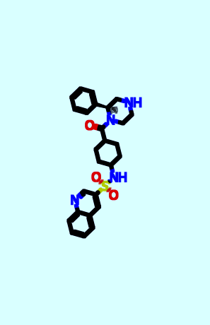 O=C(C1CCC(NS(=O)(=O)c2cnc3ccccc3c2)CC1)N1CCNC[C@@H]1c1ccccc1